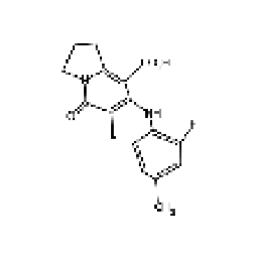 Cc1ccc(Nc2c(C(=O)O)c3n(c(=O)c2F)CCC3)c(F)c1